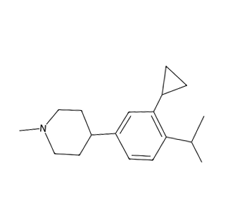 CC(C)c1ccc(C2CCN(C)CC2)cc1C1CC1